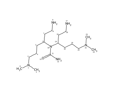 CN(C)CCCC(CCN)N(C(N)=O)C(CCN)CCCN(C)C